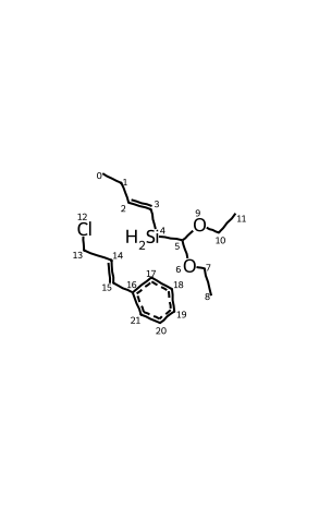 CCC=C[SiH2]C(OCC)OCC.ClCC=Cc1ccccc1